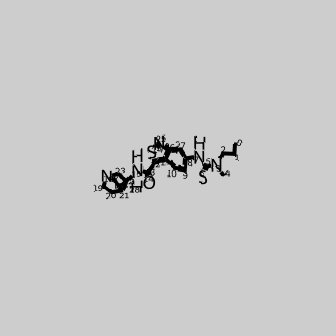 CCCN(C)C(=S)Nc1ccc2c(C(=O)N[C@@H]3CN4CCC3CC4)snc2c1